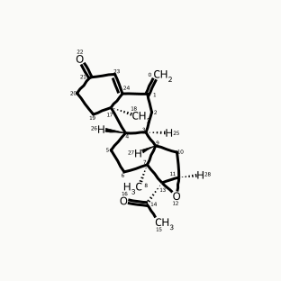 C=C1C[C@@H]2[C@H](CC[C@@]3(C)[C@H]2C[C@H]2O[C@]23C(C)=O)[C@@]2(C)CCC(=O)C=C12